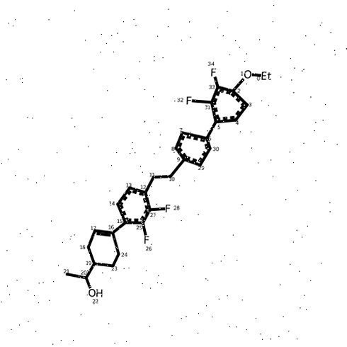 CCOc1ccc(-c2ccc(CCc3ccc(C4=CCC(C(C)O)CC4)c(F)c3F)cc2)c(F)c1F